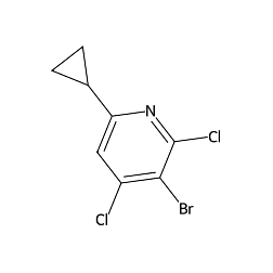 Clc1cc(C2CC2)nc(Cl)c1Br